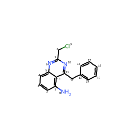 Nc1cccc2nc(CCl)nc(Cc3ccccc3)c12